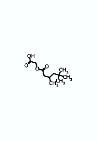 CC(CC(=O)OCC(=O)O)CC(C)(C)C